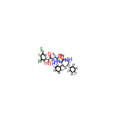 C[C@H](NC(=O)[C@@H](O)c1cc(F)cc(F)c1)C(=O)N[C@@H]1C(=O)NC[C@H](c2ccccc2)C[C@H]1c1ccccc1